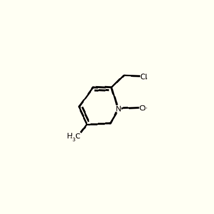 CC1=CC=C(CCl)N([O])C1